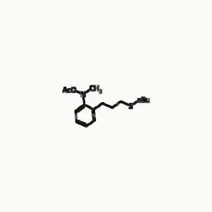 CCCCSCCCc1ccccc1N(C)OC(C)=O